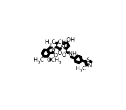 COC1C2=C(C=CC1C)CN([C@H](C(=O)N1C[C@H](O)C[C@H]1C(=O)NCc1ccc(-c3scnc3C)cc1)C(C)C)C2=O